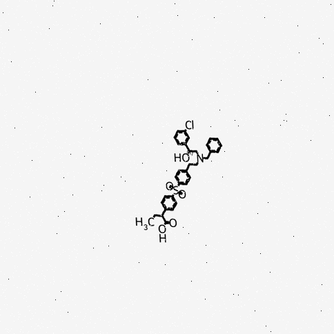 CCC(C(=O)O)c1ccc(S(=O)(=O)c2ccc(CCN(Cc3ccccc3)C[C@H](O)c3cccc(Cl)c3)cc2)cc1